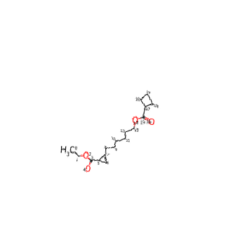 CCOC(=O)C1C=C1CCCCCCOC(=O)C1CCC1